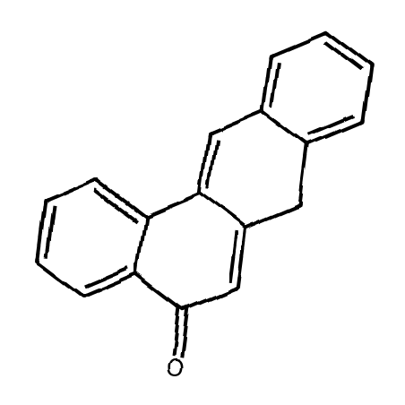 O=C1C=C2Cc3ccccc3C=C2c2ccccc21